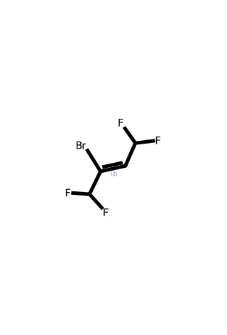 FC(F)/C=C(\Br)C(F)F